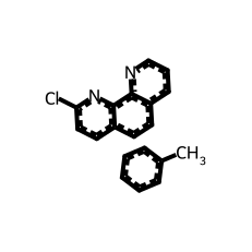 Cc1ccccc1.Clc1ccc2ccc3cccnc3c2n1